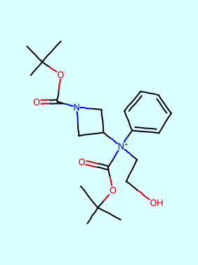 CC(C)(C)OC(=O)N1CC([N+](CCO)(C(=O)OC(C)(C)C)c2ccccc2)C1